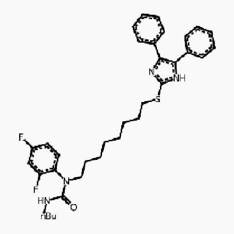 CCCCNC(=O)N(CCCCCCCCSc1nc(-c2ccccc2)c(-c2ccccc2)[nH]1)c1ccc(F)cc1F